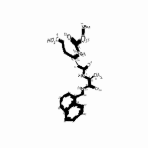 C[C@H](NC(=O)C[C@H](CCC(=O)O)NC(=O)OC(C)(C)C)C(=O)NCc1cccc2ccccc12